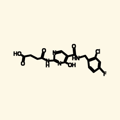 O=C(O)CCC(=O)Nc1ncc(C(=O)NCc2ccc(F)cc2Cl)c(O)n1